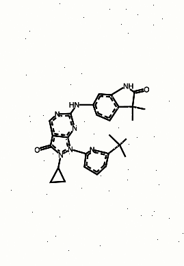 CC(C)(C)c1cccc(-n2c3nc(Nc4ccc5c(c4)NC(=O)C5(C)C)ncc3c(=O)n2C2CC2)n1